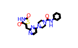 O=C1NC(=O)C(=Cc2nccc(N3CCN(C(=O)Nc4ccccc4)CC3)n2)S1